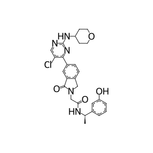 C[C@@H](NC(=O)CN1Cc2ccc(-c3nc(NC4CCOCC4)ncc3Cl)cc2C1=O)c1cccc(O)c1